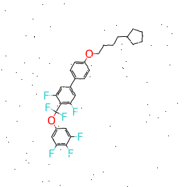 Fc1cc(OC(F)(F)c2c(F)cc(-c3ccc(OCCCCC4CCCC4)cc3)cc2F)cc(F)c1F